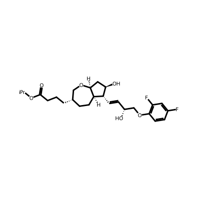 CC(C)OC(=O)CCC[C@H]1CC[C@@H]2[C@@H](/C=C/[C@@H](O)COc3ccc(F)cc3F)[C@H](O)C[C@@H]2OC1